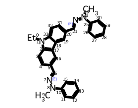 CCn1c2ccc(/C=N/N(C)c3ccccc3)cc2c2cc(/C=N/N(C)c3ccccc3)ccc21